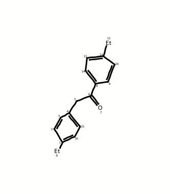 CCc1ccc(CC(=O)c2ccc(CC)cc2)cc1